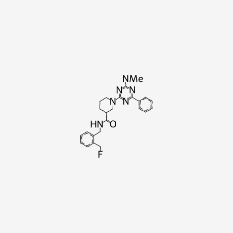 CNc1nc(-c2ccccc2)nc(N2CCCC(C(=O)NCc3ccccc3CF)C2)n1